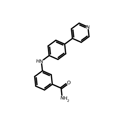 NC(=O)c1cccc(Nc2ccc(-c3ccncc3)cc2)c1